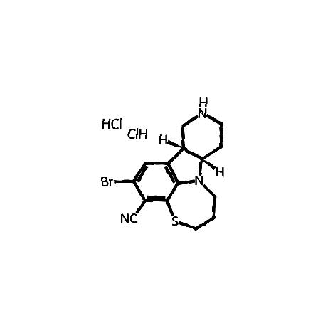 Cl.Cl.N#Cc1c(Br)cc2c3c1SCCCN3[C@H]1CCNC[C@@H]21